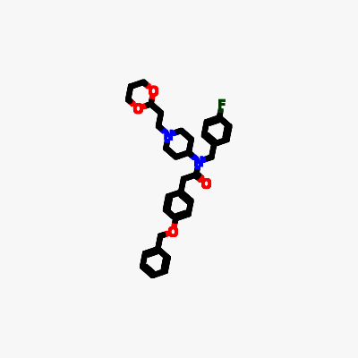 O=C(Cc1ccc(OCc2ccccc2)cc1)N(Cc1ccc(F)cc1)C1CCN(CCC2OCCCO2)CC1